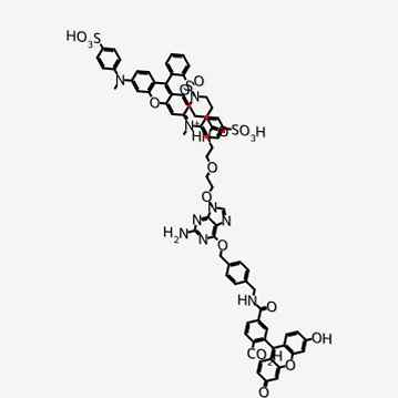 CN(c1ccc(S(=O)(=O)O)cc1)c1ccc2c(-c3ccccc3S(=O)(=O)N3CCC(C(=O)NCCOCCOn4cnc5c(OCc6ccc(CNC(=O)c7ccc(C(=O)O)c(-c8c9ccc(=O)cc-9oc9cc(O)ccc89)c7)cc6)nc(N)nc54)CC3)c3cc/c(=[N+](/C)c4ccc(S(=O)(=O)O)cc4)cc-3oc2c1